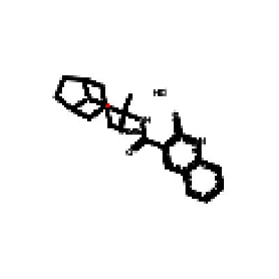 COCCN1C2CCC1CC(C(C)(C)NC(=O)c1cc3ccccc3[nH]c1=O)C2.Cl